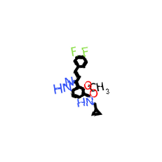 COc1c(C(=O)NCC2CC2)ccc2[nH]nc(C=Cc3ccc(F)c(F)c3)c12